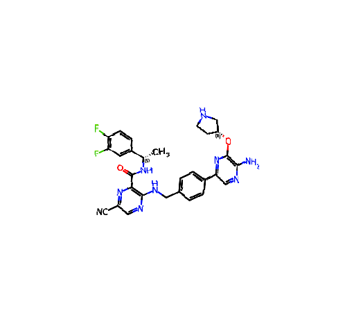 C[C@H](NC(=O)c1nc(C#N)cnc1NCc1ccc(-c2cnc(N)c(O[C@@H]3CCNC3)n2)cc1)c1ccc(F)c(F)c1